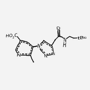 Cc1ncc(C(=O)O)cc1-n1cc(C(=O)NCC(C)(C)C)nn1